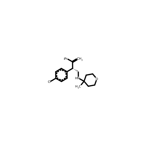 C=C(C(C)C)[C@H](CNC1(C)CCOCC1)c1ccc(Cl)cc1